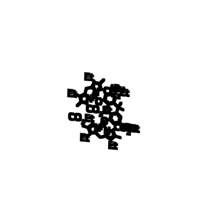 CCOC(=O)c1c(C)c(CC)c2n1P(Oc1cc(C(C)(C)C)cc3c1Oc1c(OP4n5c(c(CC)c(C)c5C(=O)OCC)Cc5c(CC)c(C)c(C(=O)OCC)n54)cc(C(C)(C)C)cc1C3(C)C)n1c(c(CC)c(C)c1C(=O)OCC)C2